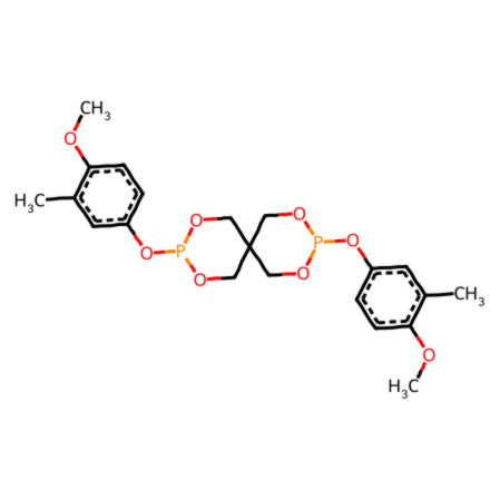 COc1ccc(OP2OCC3(CO2)COP(Oc2ccc(OC)c(C)c2)OC3)cc1C